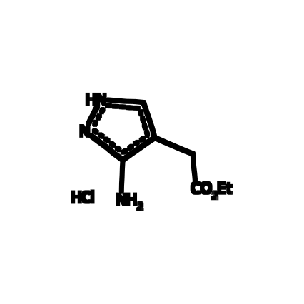 CCOC(=O)Cc1c[nH]nc1N.Cl